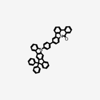 O=c1c2ccccc2c2cccc3c4cc(-c5ccc(-n6c7ccccc7c7cc8c(cc76)-c6ccccc6C8(c6ccccc6)c6ccccc6)cc5)ccc4n1c23